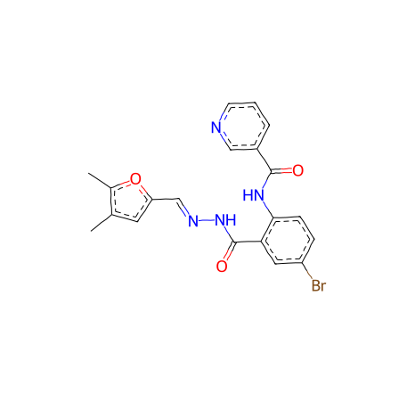 Cc1cc(C=NNC(=O)c2cc(Br)ccc2NC(=O)c2cccnc2)oc1C